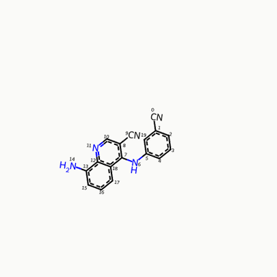 N#Cc1cccc(Nc2c(C#N)cnc3c(N)cccc23)c1